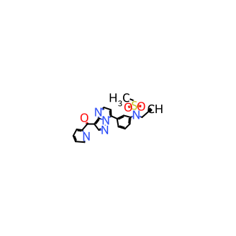 C#CCN(c1cccc(-c2ccnc3c(C(=O)c4ccccn4)cnn23)c1)S(=O)(=O)CC